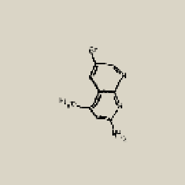 Cc1cc(N)nc2ncc(Br)cc12